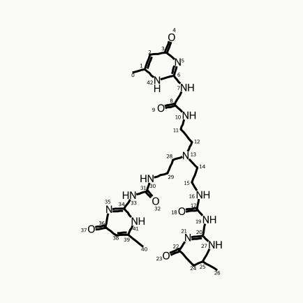 Cc1cc(=O)nc(NC(=O)NCCN(CCNC(=O)NC2=NC(=O)CC(C)N2)CCNC(=O)Nc2nc(=O)cc(C)[nH]2)[nH]1